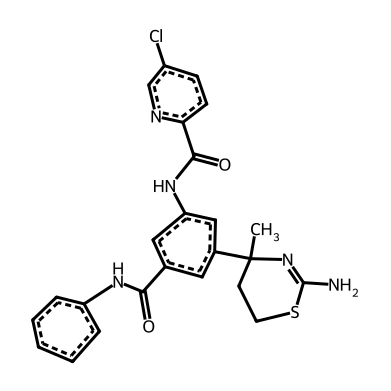 CC1(c2cc(NC(=O)c3ccc(Cl)cn3)cc(C(=O)Nc3ccccc3)c2)CCSC(N)=N1